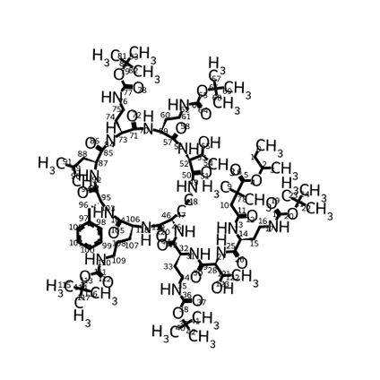 CCC(C)OC(=O)C(C)(C)CC(=O)N[C@@H](CCNC(=O)OC(C)(C)C)C(=O)N[C@H](C(=O)N[C@@H](CCNC(=O)OC(C)(C)C)C(=O)N[C@H]1CCNC(=O)[C@H]([C@H](C)O)NC(=O)[C@H](CCNC(=O)OC(C)(C)C)NC(=O)[C@H](CCNC(=O)OC(C)(C)C)NC(=O)[C@H](CC(C)C)NC(=O)[C@@H](Cc2ccccc2)NC(=O)[C@H](CCCNC(=O)OC(C)(C)C)NC1=O)C(C)O